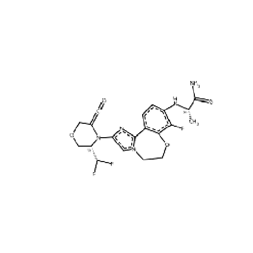 C[C@H](Nc1ccc2c(c1F)OCCn1cc(N3C(=C=O)COC[C@H]3C(F)F)nc1-2)C(N)=O